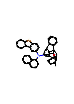 CC1CCC(N(c2ccc3sc4ccccc4c3c2)c2cccc3ccccc23)CCC23c4ccc#cc4-c4cccc(c42)-c2cccc1c23